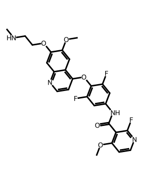 CNCCOc1cc2nccc(Oc3c(F)cc(NC(=O)c4c(OC)ccnc4F)cc3F)c2cc1OC